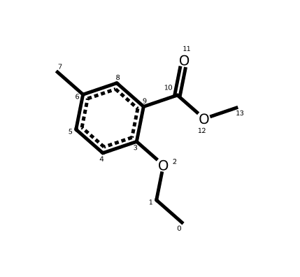 CCOc1ccc(C)cc1C(=O)OC